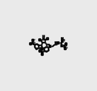 NC(=N[N+](=O)[O-])NCCCn1cc(C2=C(c3c[nH]c4ccc([N+](=O)[O-])cc34)C(=O)NC2=O)c2cc([N+](=O)[O-])ccc21